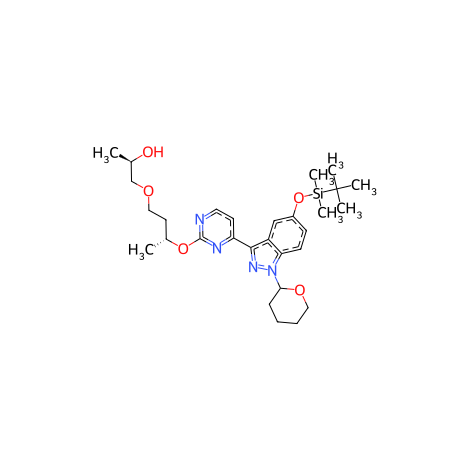 C[C@H](CCOC[C@@H](C)O)Oc1nccc(-c2nn(C3CCCCO3)c3ccc(O[Si](C)(C)C(C)(C)C)cc23)n1